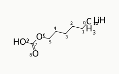 CCCCCCOC(=O)O.[LiH]